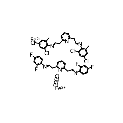 Cc1cc(Cl)cc(Cl)c1N=CCc1cccc(CC=Nc2c(C)cc(Cl)cc2Cl)n1.Fc1ccc(N=CCc2cccc(CC=Nc3ccc(F)cc3F)n2)c(F)c1.[Cl-].[Cl-].[Cl-].[Cl-].[Fe+2].[Fe+2]